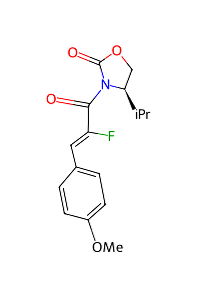 COc1ccc(/C=C(\F)C(=O)N2C(=O)OC[C@H]2C(C)C)cc1